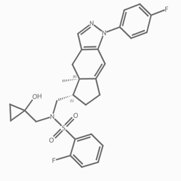 C[C@]12Cc3cnn(-c4ccc(F)cc4)c3C=C1CC[C@@H]2CN(CC1(O)CC1)S(=O)(=O)c1ccccc1F